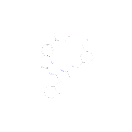 C=C(/N=C(\N=C(/C)NCC1CCCC(CN)C1)NC1CCCCC1C)Nc1cc(C(=O)NOC)ccc1C